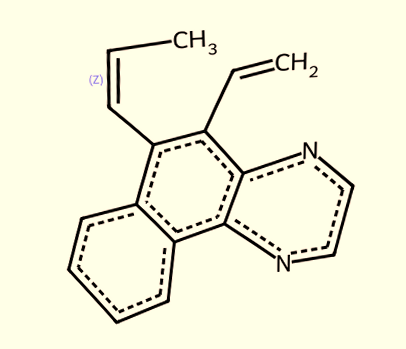 C=Cc1c(/C=C\C)c2ccccc2c2nccnc12